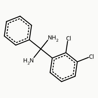 NC(N)(c1ccccc1)c1cccc(Cl)c1Cl